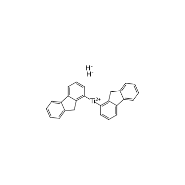 [H-].[H-].c1ccc2c(c1)Cc1[c]([Ti+2][c]3cccc4c3Cc3ccccc3-4)cccc1-2